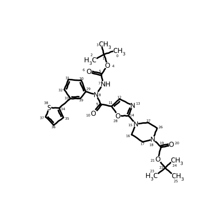 CC(C)(C)OC(=O)NN(C(=O)c1cnc(N2CCN(C(=O)OC(C)(C)C)CC2)o1)c1cccc(-c2cccs2)c1